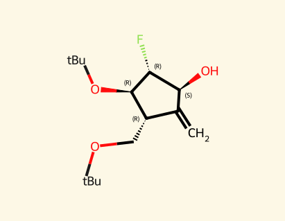 C=C1[C@H](O)[C@@H](F)[C@H](OC(C)(C)C)[C@H]1COC(C)(C)C